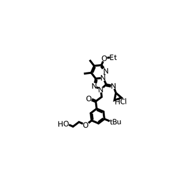 CCOc1nn2/c(=N/C3CC3)n(CC(=O)c3cc(OCCO)cc(C(C)(C)C)c3)nc2c(C)c1C.Cl